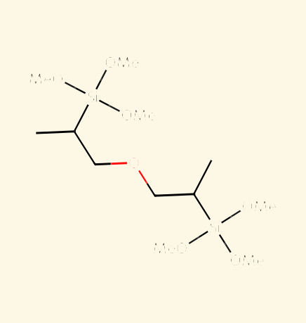 CO[Si](OC)(OC)C(C)COCC(C)[Si](OC)(OC)OC